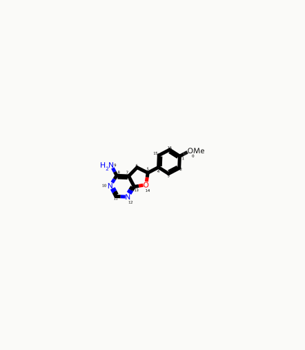 COc1ccc(C2Cc3c(N)ncnc3O2)cc1